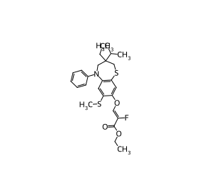 CCOC(=O)/C(F)=C/Oc1cc2c(cc1SC)N(c1ccccc1)CC(CC)(C(C)C)CS2